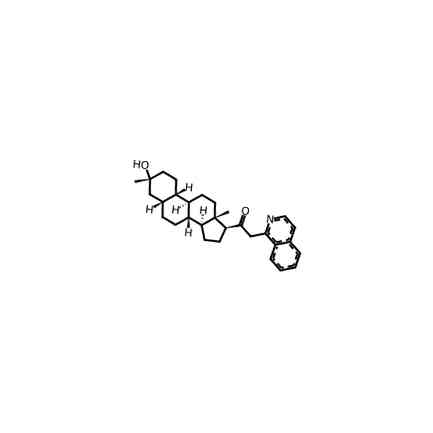 C[C@@]1(O)CC[C@H]2[C@H](CC[C@@H]3[C@@H]2CC[C@]2(C)[C@@H](C(=O)Cc4nccc5ccccc45)CC[C@@H]32)C1